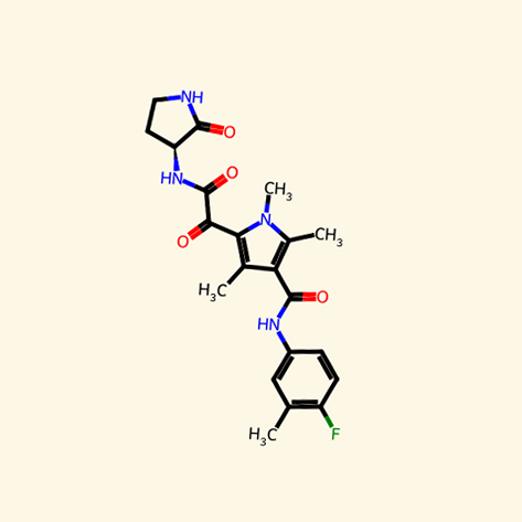 Cc1cc(NC(=O)c2c(C)c(C(=O)C(=O)N[C@H]3CCNC3=O)n(C)c2C)ccc1F